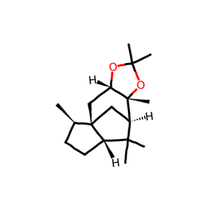 C[C@@H]1CC[C@H]2C(C)(C)[C@H]3C[C@@]12C[C@@H]1OC(C)(C)O[C@@]13C